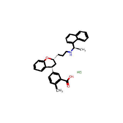 Cc1ccc([C@H]2C[C@@H](CCCN[C@H](C)c3cccc4ccccc34)Oc3ccccc32)cc1C(=O)O.Cl